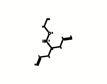 C=CCC(CC=C)NOCC